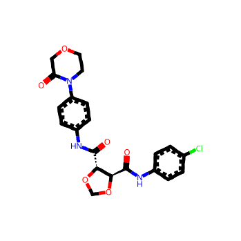 O=C(Nc1ccc(Cl)cc1)[C@H]1OCO[C@@H]1C(=O)Nc1ccc(N2CCOCC2=O)cc1